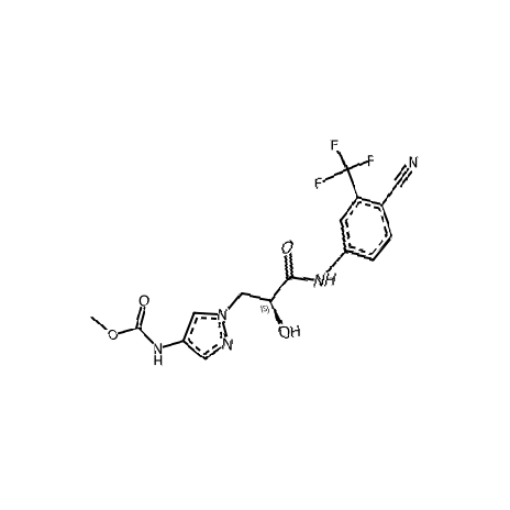 COC(=O)Nc1cnn(C[C@H](O)C(=O)Nc2ccc(C#N)c(C(F)(F)F)c2)c1